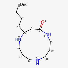 CCCCCCCCCCCCCC1CC(=O)NCCCNCCCN1